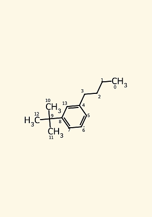 CCCCc1c[c]cc(C(C)(C)C)c1